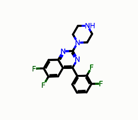 Fc1cc2nc(N3CCNCC3)nc(-c3cccc(F)c3F)c2cc1F